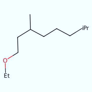 CCOCCC(C)CCCC(C)C